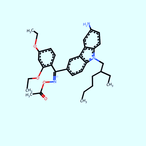 CCCCC(CC)Cn1c2ccc(N)cc2c2cc(/C(=N/OC(C)=O)c3ccc(OCC)cc3OCC)ccc21